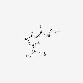 CCNC(=O)c1cc(C(C)C)cnn1